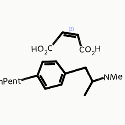 CCCCCc1ccc(CC(C)NC)cc1.O=C(O)/C=C\C(=O)O